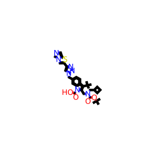 CC(C)(C)OC(=O)N(Cc1c(C(C)(C)C)c2ccc(Cn3cc(-c4cn5cncc5s4)nn3)cc2n1C(=O)O)CC1CCC1